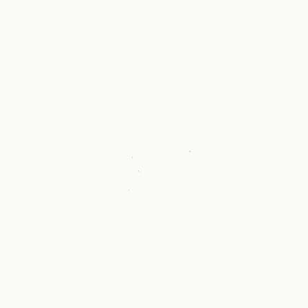 CN1Cc2c(O)c(O)cc(Cl)c2C1=O